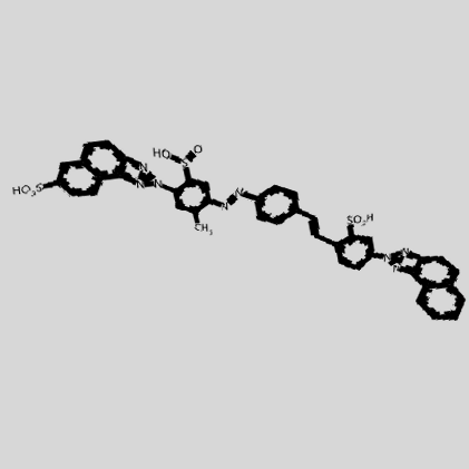 Cc1cc(-n2n3c4ccc5cc(S(=O)(=O)O)ccc5c4n23)c(S(=O)O)cc1N=Nc1ccc(C=Cc2ccc(-n3n4c5ccc6ccccc6c5n34)cc2S(=O)(=O)O)cc1